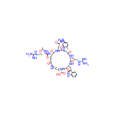 CC(=O)N[C@@H](CCCNC(=N)N)C(=O)N[C@H]1CCC(=O)NCCC[C@@H](C(=O)O)NC(=O)[C@H](Cc2c[nH]c3ccccc23)NC(=O)[C@H](CCCNC(=N)N)NC(=O)[C@@H](Cc2ccc(N)cc2)NC(=O)[C@H](CCC(N)=O)NC1=O